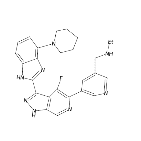 CCNCc1cncc(-c2ncc3[nH]nc(-c4nc5c(N6CCCCC6)cccc5[nH]4)c3c2F)c1